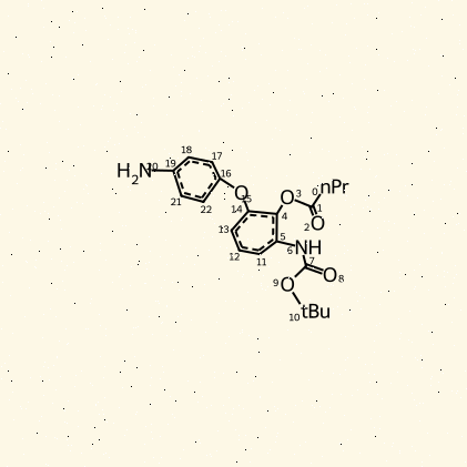 CCCC(=O)Oc1c(NC(=O)OC(C)(C)C)cccc1Oc1ccc(N)cc1